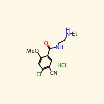 CCNCCNC(=O)c1cc(C#N)c(Cl)cc1OC.Cl